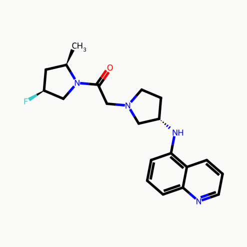 C[C@@H]1C[C@H](F)CN1C(=O)CN1CC[C@H](Nc2cccc3ncccc23)C1